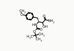 COc1ccc(C[C@H](NC(=O)OC(C)(C)C)C(O)C(N)=O)cc1